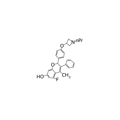 CCCN1CC(Oc2ccc(C3Oc4cc(O)cc(F)c4C(C)=C3c3ccccc3)cc2)C1